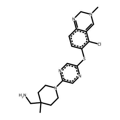 CN1C=c2c(Cl)c(Sc3cnc(N4CCC(C)(CN)CC4)cn3)ccc2=NC1